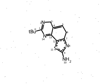 CC(C)(C)C1=NCC2=CCc3nc(N)sc3C2=N1